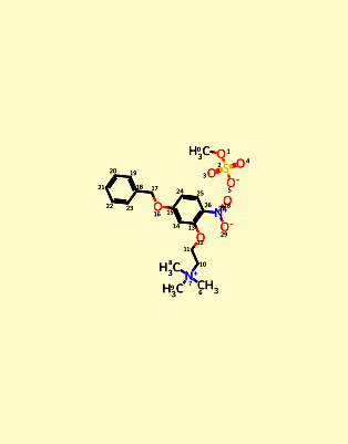 COS(=O)(=O)[O-].C[N+](C)(C)CCOc1cc(OCc2ccccc2)ccc1[N+](=O)[O-]